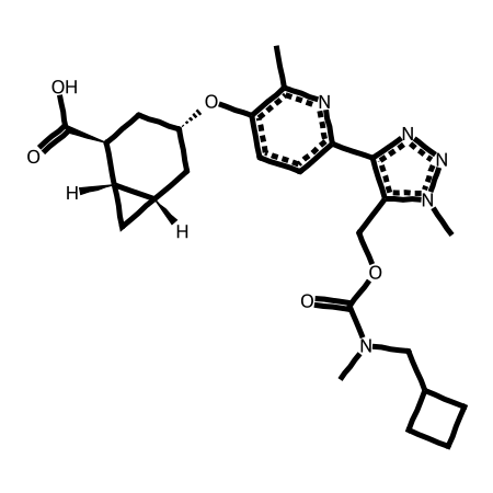 Cc1nc(-c2nnn(C)c2COC(=O)N(C)CC2CCC2)ccc1O[C@@H]1C[C@@H]2C[C@@H]2[C@@H](C(=O)O)C1